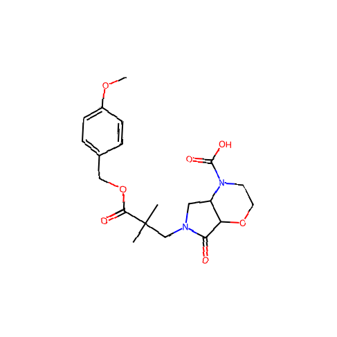 COc1ccc(COC(=O)C(C)(C)CN2CC3C(OCCN3C(=O)O)C2=O)cc1